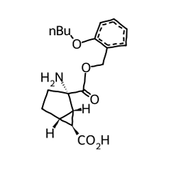 CCCCOc1ccccc1COC(=O)[C@]1(N)CC[C@H]2[C@H](C(=O)O)[C@H]21